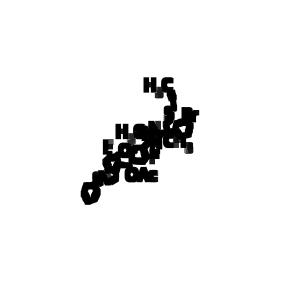 CC#CCSCCC(C)(c1cccc(Br)c1)c1nc(-c2cc(Oc3c(F)cc4c(ccn4Sc4ccccc4)c3COC(C)=O)ccc2F)n(C)n1